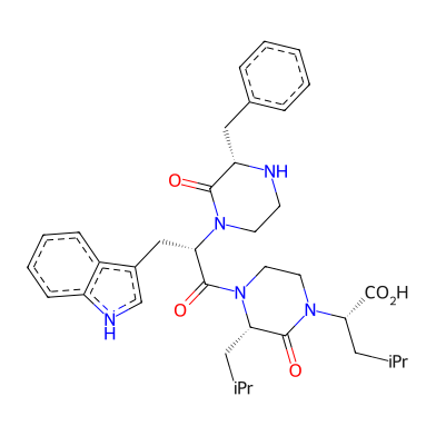 CC(C)C[C@@H](C(=O)O)N1CCN(C(=O)[C@H](Cc2c[nH]c3ccccc23)N2CCN[C@@H](Cc3ccccc3)C2=O)[C@@H](CC(C)C)C1=O